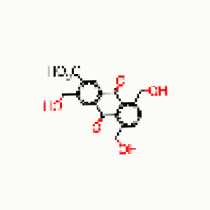 O=C(O)c1cc2c(cc1CO)C(=O)c1c(CO)ccc(CO)c1C2=O